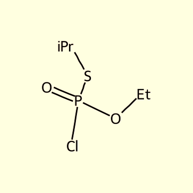 CCOP(=O)(Cl)SC(C)C